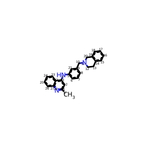 Cc1cc(Nc2cccc(CN3CCc4ccccc4C3)c2)c2ccccc2n1